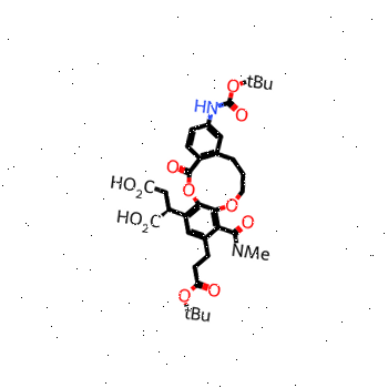 CNC(=O)c1c(CCC(=O)OC(C)(C)C)cc([C@H](CC(=O)O)C(=O)O)c2c1OCCCc1cc(NC(=O)OC(C)(C)C)ccc1C(=O)O2